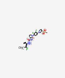 C=C/C(NC(=O)N[C@@H]1CCCN(c2ccc(N3CCC(S(C)(=O)=O)C3)c(F)c2F)C1=O)=C(/F)C=O